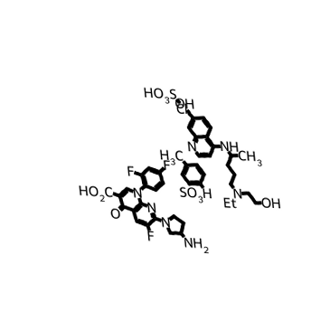 CCN(CCO)CCCC(C)Nc1ccnc2cc(Cl)ccc12.Cc1ccc(S(=O)(=O)O)cc1.NC1CCN(c2nc3c(cc2F)c(=O)c(C(=O)O)cn3-c2ccc(F)cc2F)C1.O=S(=O)(O)O